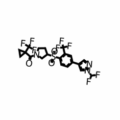 O=C(N1CCC(S(=O)(=O)c2ccc(-c3cnn(C(F)F)c3)cc2C(F)(F)F)C1)C1(C(F)(F)F)CC1